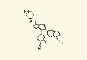 Cn1ncc2cc(-c3ncc4c(ccn4CC4(F)CCNCC4)c3-c3ccc(C#N)c(F)c3)ccc21